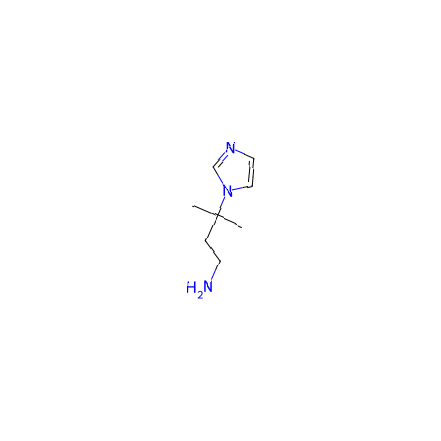 CC(C)(CCN)n1ccnc1